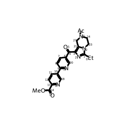 CCc1nc(C(=O)c2ccc(-c3ccc(C(=O)OC)nc3)nc2)c2n1CCN(C(C)=O)C2